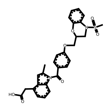 Cc1cc2c(CC(=O)O)cccc2n1C(=O)c1ccc(OCC2CN(S(C)(=O)=O)c3ccccc3O2)cc1